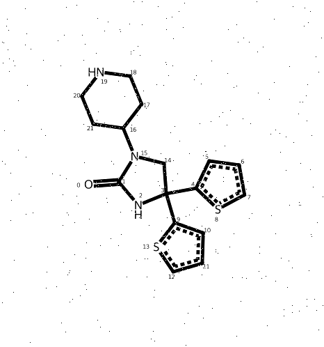 O=C1NC(c2cccs2)(c2cccs2)CN1C1CCNCC1